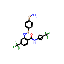 NSc1ccc(SNc2cc(C(F)(F)F)ccc2C(=O)NC23CC(C(F)(F)F)(C2)C3)cc1